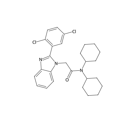 O=C(Cn1c(-c2cc(Cl)ccc2Cl)nc2ccccc21)N(C1CCCCC1)C1CCCCC1